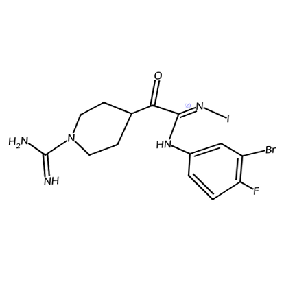 N=C(N)N1CCC(C(=O)/C(=N/I)Nc2ccc(F)c(Br)c2)CC1